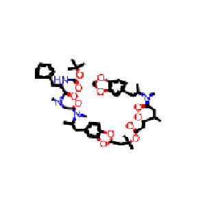 CC(CC(=O)N(C)C(C)Cc1ccc2c(c1)OCO2)C(=O)CC(=O)OC(C)(C)CC1Oc2ccc(CC(C)N(C)C(=O)CN(C)C(=O)C(Cc3ccccc3)NC(=O)OC(C)(C)C)cc2O1